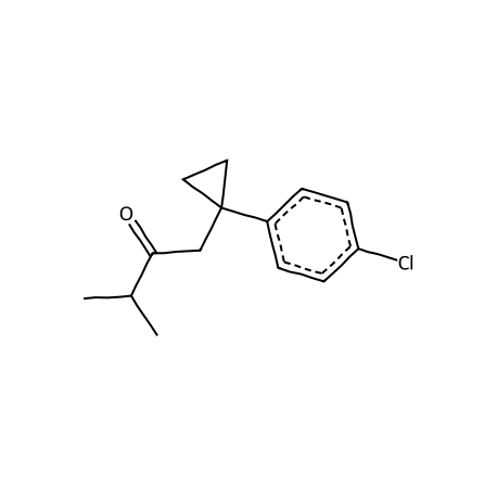 CC(C)C(=O)CC1(c2ccc(Cl)cc2)CC1